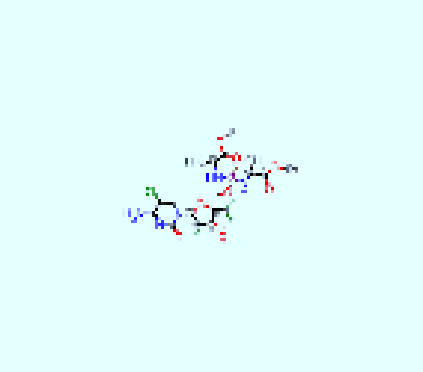 CC(C)OC(=O)[C@H](C)NP(=S)(N[C@@H](C)C(=O)OC(C)C)OC[C@@]1(C(F)F)O[C@@H](n2cc(Cl)c(N)nc2=O)[C@@H](F)[C@@H]1O